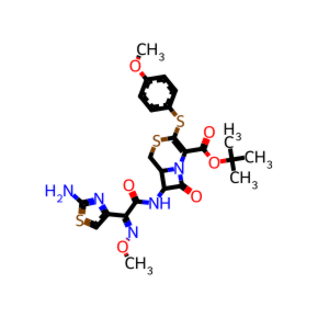 CON=C(C(=O)NC1C(=O)N2C(C(=O)OC(C)(C)C)=C(Sc3ccc(OC)cc3)SCC12)c1csc(N)n1